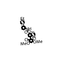 CCN1CCN(c2cccc(NC(=O)Oc3ccc(-c4c(Cl)c(OC)cc(OC)c4Cl)c4nccnc34)c2)CC1